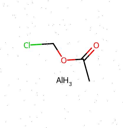 CC(=O)OCCl.[AlH3]